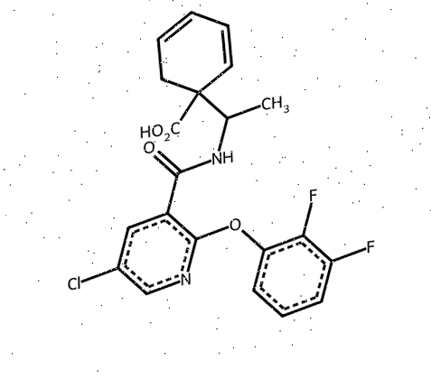 CC(NC(=O)c1cc(Cl)cnc1Oc1cccc(F)c1F)C1(C(=O)O)C=CC=CC1